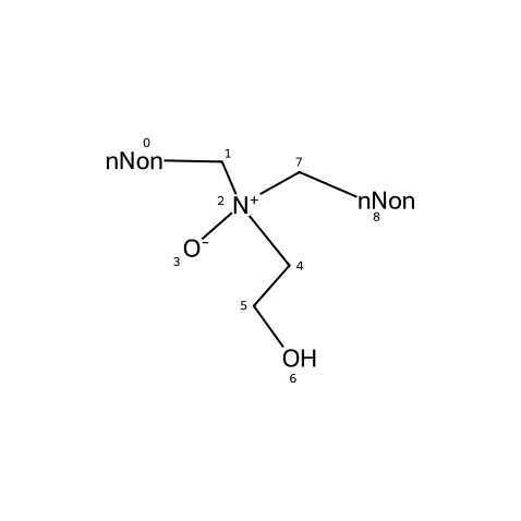 CCCCCCCCCC[N+]([O-])(CCO)CCCCCCCCCC